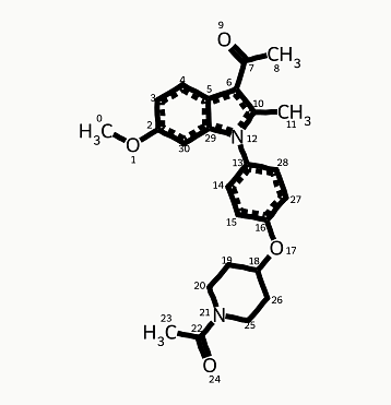 COc1ccc2c(C(C)=O)c(C)n(-c3ccc(OC4CCN(C(C)=O)CC4)cc3)c2c1